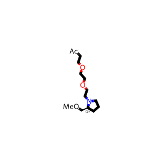 COC[C@@H]1CCCN1CCOCCOCCC(C)=O